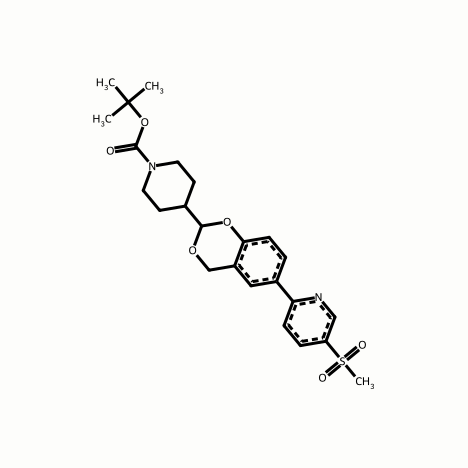 CC(C)(C)OC(=O)N1CCC(C2OCc3cc(-c4ccc(S(C)(=O)=O)cn4)ccc3O2)CC1